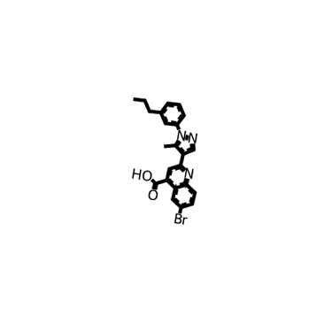 CCCc1cccc(-n2ncc(-c3cc(C(=O)O)c4cc(Br)ccc4n3)c2C)c1